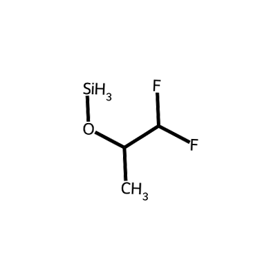 CC(O[SiH3])C(F)F